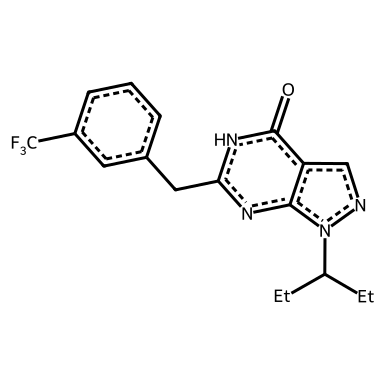 CCC(CC)n1ncc2c(=O)[nH]c(Cc3cccc(C(F)(F)F)c3)nc21